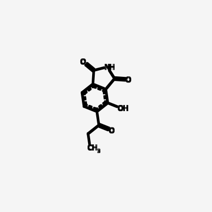 CCC(=O)c1ccc2c(c1O)C(=O)NC2=O